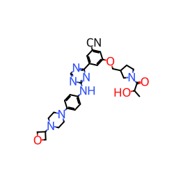 CC(O)C(=O)N1CCC(COc2cc(C#N)cc(-c3ncnc(Nc4ccc(N5CCN(C6COC6)CC5)cc4)n3)c2)C1